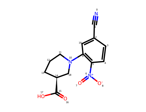 N#Cc1ccc([N+](=O)[O-])c(N2CCC[C@H](C(=O)O)C2)c1